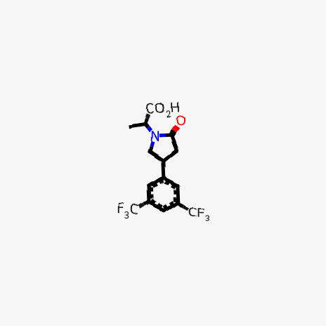 CC(C(=O)O)N1CC(c2cc(C(F)(F)F)cc(C(F)(F)F)c2)CC1=O